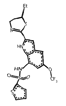 CCC1CN=C(c2cc3cc(OC(F)(F)F)cc(NS(=O)(=O)c4cccs4)c3[nH]2)S1